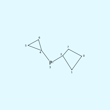 C1CC([P]C2CC2)C1